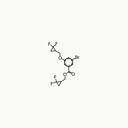 O=C(OCC1CC1(F)F)c1cc(Br)cc(OCC2CC2(F)F)c1